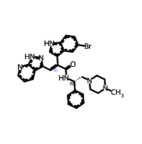 CN1CCN(C[C@@H](NC(=O)/C(=C/c2n[nH]c3ncccc23)c2c[nH]c3ccc(Br)cc23)c2ccccc2)CC1